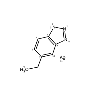 CCc1ccc2[nH]nnc2c1.[Ag]